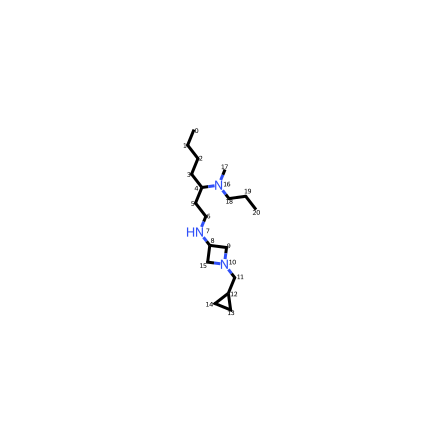 CCCCC(CCNC1CN(CC2CC2)C1)N(C)CCC